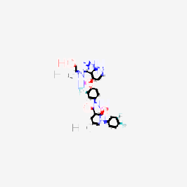 Cc1cc(C(=O)Nc2ccc(Oc3ccnc4[nH]nc(N[C@H](C)CO)c34)c(F)c2)c(=O)n(-c2ccc(F)c(F)c2)c1